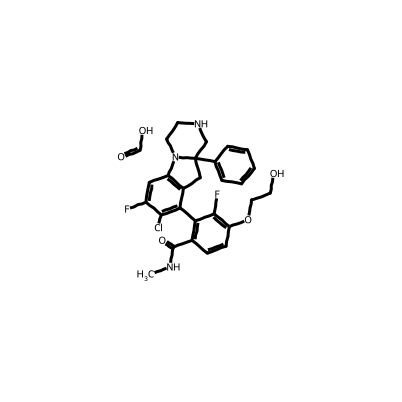 CNC(=O)c1ccc(OCCO)c(F)c1-c1c(Cl)c(F)cc2c1CC1(c3ccccc3)CNCCN21.O=CO